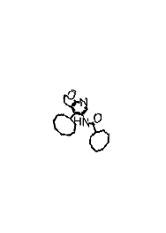 O=C(Nc1cnc2c(c1C1CCCCCCCC1)CCO2)C1CCCCCCC1